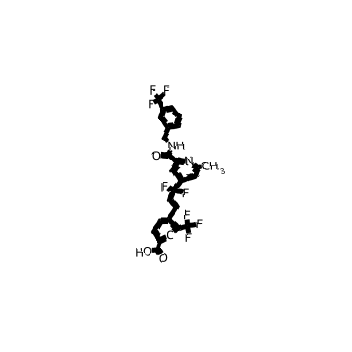 Cc1cc(C(F)(F)CCc2ccc(C(=O)O)cc2C(F)(F)F)cc(C(=O)NCc2cccc(C(F)(F)F)c2)n1